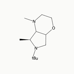 C[C@H]1C2C(CN1C(C)(C)C)OCCN2C